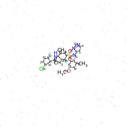 COc1ccc(CN(c2ccncn2)S(=O)(=O)c2cc(C)c(N[C@@H](C)c3cc(Cl)ccc3F)cc2F)c(C)c1